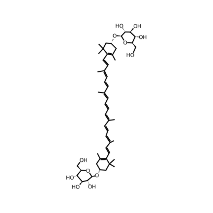 CC1=C(/C=C/C(C)=C/C=C/C(C)=C/C=C/C=C(C)/C=C/C=C(C)/C=C/C2=C(C)C[C@@H](O[C@@H]3O[C@H](CO)[C@@H](O)[C@H](O)[C@H]3O)CC2(C)C)C(C)(C)C[C@H](O[C@@H]2O[C@H](CO)[C@@H](O)[C@H](O)[C@H]2O)C1